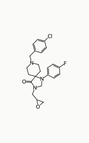 O=C1N(CC2CO2)CN(c2ccc(F)cc2)C12CCN(Cc1ccc(Cl)cc1)CC2